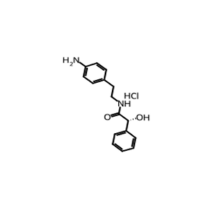 Cl.Nc1ccc(CCNC(=O)[C@H](O)c2ccccc2)cc1